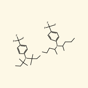 CCC(C)(C)P(c1ccc(C(F)(F)F)cc1)C(C)(C)CC.CCCC(C)P(c1ccc(C(F)(F)F)cc1)C(C)CCC